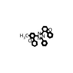 Cc1ccc(-c2nc(-c3ccccc3)nc(C3CC=Cc4oc5ccccc5c43)n2)c2c3c(oc12)CCC=C3